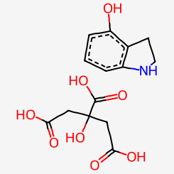 O=C(O)CC(O)(CC(=O)O)C(=O)O.Oc1cccc2c1CCN2